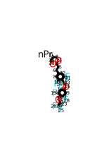 CCCC1COC(CCc2cc(F)c(C(F)(F)Oc3cc(F)c(OC(F)=C(F)F)c(F)c3)c(F)c2)OC1